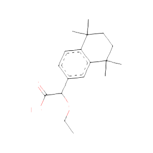 CCOC(C(=O)O)c1ccc2c(c1)C(C)(C)CCC2(C)C